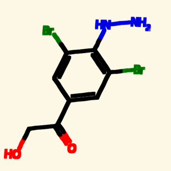 NNc1c(Br)cc(C(=O)CO)cc1Br